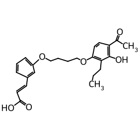 CCCc1c(OCCCCOc2cccc(C=CC(=O)O)c2)ccc(C(C)=O)c1O